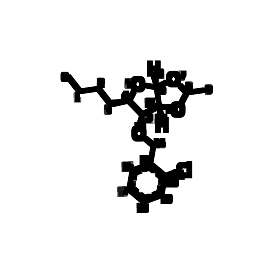 CCCC[C@H]1O[C@@H]2OC(C)O[C@@H]2[C@H]1OCc1ccccc1Cl